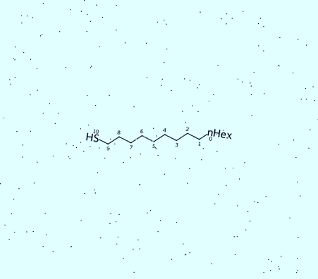 CCCCCCCCCCCCCCCS